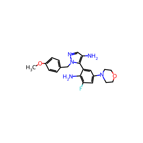 COc1ccc(Cn2ncc(N)c2-c2cc(N3CCOCC3)cc(F)c2N)cc1